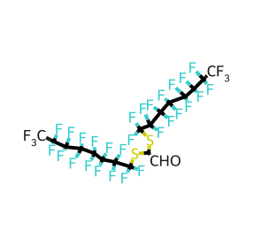 O=CC(SC(F)(F)C(F)(F)C(F)(F)C(F)(F)C(F)(F)C(F)(F)C(F)(F)C(F)(F)F)SC(F)(F)C(F)(F)C(F)(F)C(F)(F)C(F)(F)C(F)(F)C(F)(F)C(F)(F)F